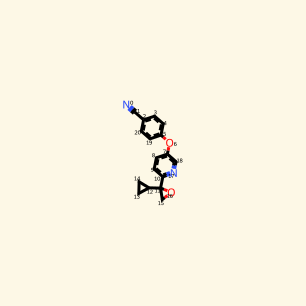 N#Cc1ccc(Oc2ccc(C3(C4CC4)CO3)nc2)cc1